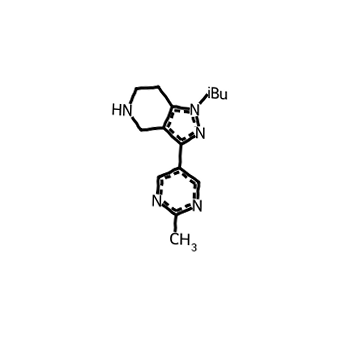 CCC(C)n1nc(-c2cnc(C)nc2)c2c1CCNC2